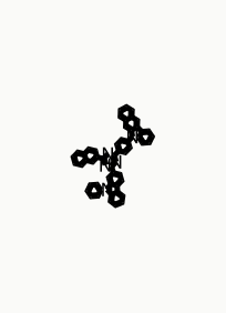 c1ccc(-n2c3ccccc3c3ccc(-c4nc(-c5ccc(-n6c7ccccc7c7cc8ccccc8cc76)cc5)nc(-c5ccc6ccccc6c5)n4)cc32)cc1